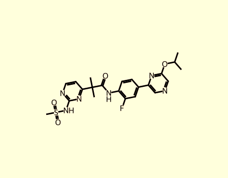 CC(C)Oc1cncc(-c2ccc(NC(=O)C(C)(C)c3ccnc(NS(C)(=O)=O)n3)c(F)c2)n1